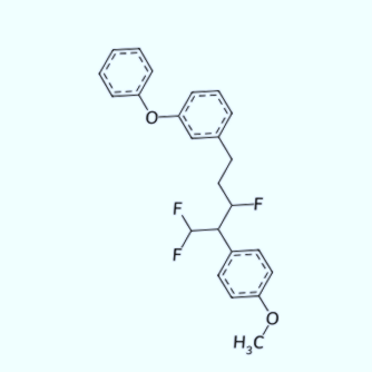 COc1ccc(C(C(F)F)C(F)CCc2cccc(Oc3ccccc3)c2)cc1